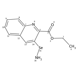 CCOC(=O)c1nc2ccccc2cc1[Se]N